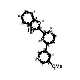 COc1cncc(-c2ccnc(-c3nc4ccccc4[nH]3)n2)c1